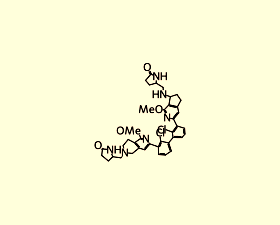 COc1nc(-c2cccc(-c3cccc(-c4cc5c(c(OC)n4)C(NCC4CCC(=O)N4)CC5)c3Cl)c2Cl)cc2c1CCN(CC1CCC(=O)N1)C2